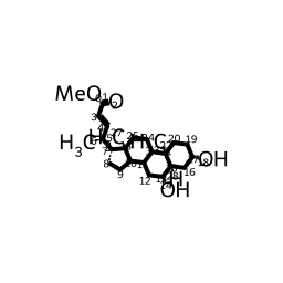 COC(=O)/C=C/[C@@H](C)[C@H]1CCC2C3C[C@H](O)[C@@H]4C[C@H](O)CC[C@]4(C)C3CC[C@@]21C